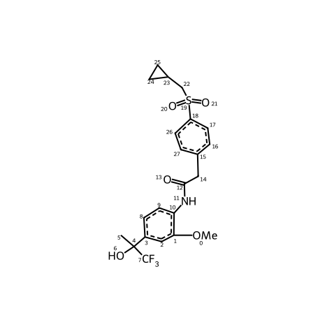 COc1cc(C(C)(O)C(F)(F)F)ccc1NC(=O)Cc1ccc(S(=O)(=O)CC2CC2)cc1